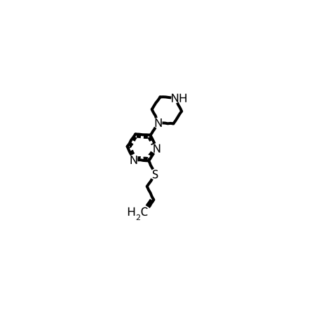 C=CCSc1nccc(N2CCNCC2)n1